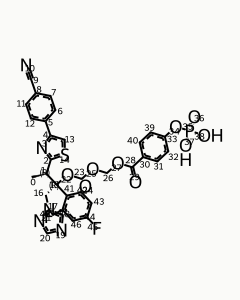 C[C@@H](c1nc(-c2ccc(C#N)cc2)cs1)[C@@](Cn1cncn1)(OC(=O)OCOC(=O)c1ccc(OP(=O)(O)O)cc1)c1ccc(F)cc1F